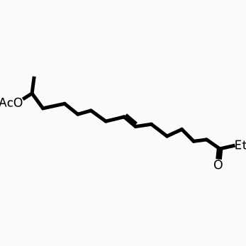 CCC(=O)CCCCC/C=C/CCCCCC(C)OC(C)=O